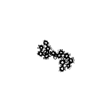 c1ccc(-c2ccc(N(c3ccc4c(c3)oc3cc(N(c5ccc(-c6ccccc6)cc5)c5cccc6c5oc5c(C7CCCC7)cccc56)c5ccccc5c34)c3cccc4c3oc3c(C5CCCC5)cccc34)cc2)cc1